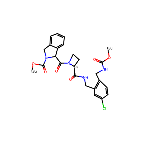 CC(C)(C)OC(=O)NCc1ccc(Cl)cc1CNC(=O)[C@@H]1CCN1C(=O)C1c2ccccc2CN1C(=O)OC(C)(C)C